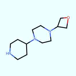 C1CC(N2CCN(C3COC3)CC2)CCN1